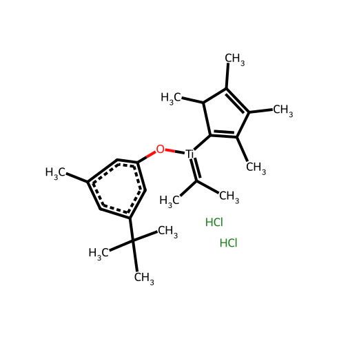 CC1=C(C)C(C)[C]([Ti]([O]c2cc(C)cc(C(C)(C)C)c2)=[C](C)C)=C1C.Cl.Cl